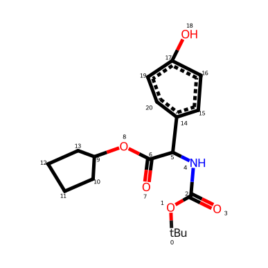 CC(C)(C)OC(=O)NC(C(=O)OC1CCCC1)c1ccc(O)cc1